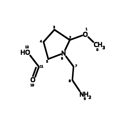 COC1CCCN1CCN.O=CO